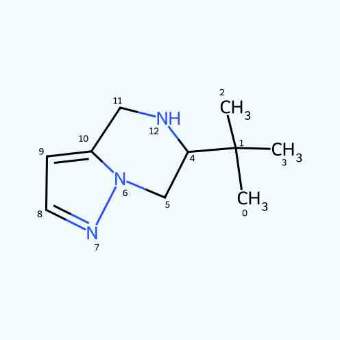 CC(C)(C)C1Cn2nccc2CN1